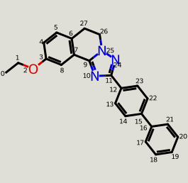 CCOc1ccc2c(c1)-c1nc(-c3ccc(-c4ccccc4)cc3)nn1CC2